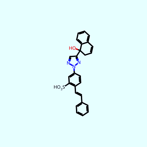 O=S(=O)(O)c1cc(-n2ncc(C3(O)CC=Cc4ccccc43)n2)ccc1C=Cc1ccccc1